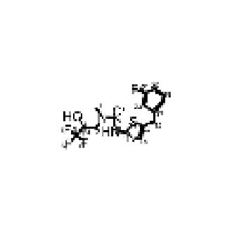 CN(C[C@H](O)C(F)(F)F)C(=O)Nc1ncc(Cc2cccc(F)c2)s1